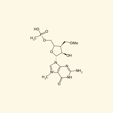 COC[C@@H]1C(COP(C)(=O)O)O[C@@H](n2c[n+](C)c3c(=O)[nH]c(N)nc32)[C@@H]1O